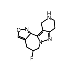 FC1Cc2conc2-c2c3c(nn2C1)CCNC3